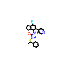 CC(SNC(=O)Nc1c(-c2ccncc2)cc(F)c2c1CCC2)c1ccccc1